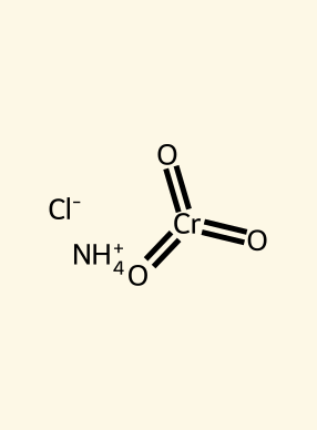 [Cl-].[NH4+].[O]=[Cr](=[O])=[O]